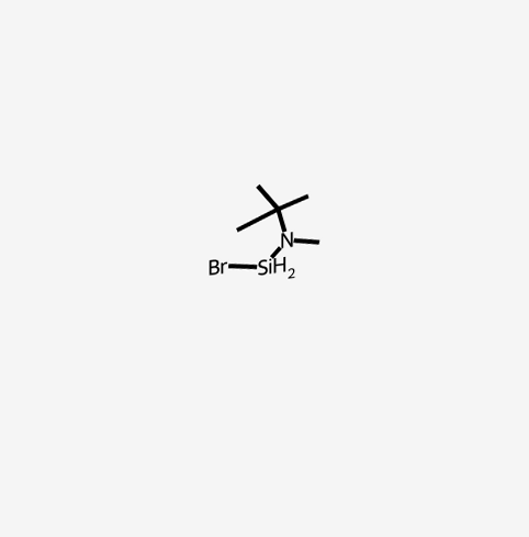 CN([SiH2]Br)C(C)(C)C